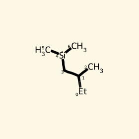 CCC(C)C[Si](C)C